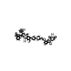 CCc1cc(Nc2ncc(-c3cc[nH]n3)c(Nc3ccccc3P(C)(C)=O)n2)c(OC)cc1N1CCC(N2CCN(CCOc3cccc4c3CN(C3CCC(=O)NC3=O)C4=O)CC2)CC1